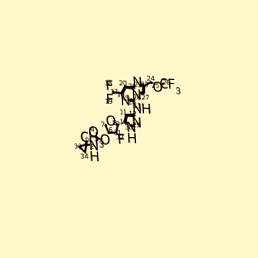 CC1(NC(=O)O[C@@H]2CO[C@H](c3cc(Nc4nc(C(F)F)cc5nc(COC(F)(F)F)cn45)n[nH]3)[C@H]2F)CC1